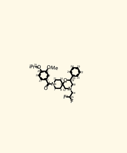 COc1cc(C(=O)N2CCC3(CC2)CN(CC(F)F)CC(c2ccccc2)O3)ccc1OC(C)C